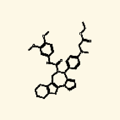 CCOC(=O)CN(C)c1ccc(C2c3cccn3-c3sc4c(c3CN2C(=O)Nc2ccc(OC)c(OC)c2)CCCC4)cc1